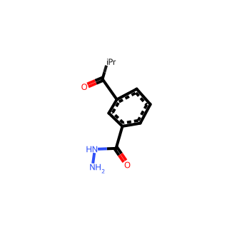 CC(C)C(=O)c1cccc(C(=O)NN)c1